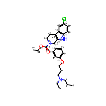 CCCN(CC)CCCOc1ccc([C@H]2c3[nH]c4ccc(Cl)cc4c3CCN2C(=O)OCC)cc1